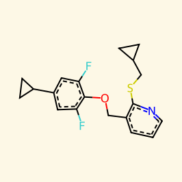 Fc1cc(C2CC2)cc(F)c1OCc1cccnc1SCC1CC1